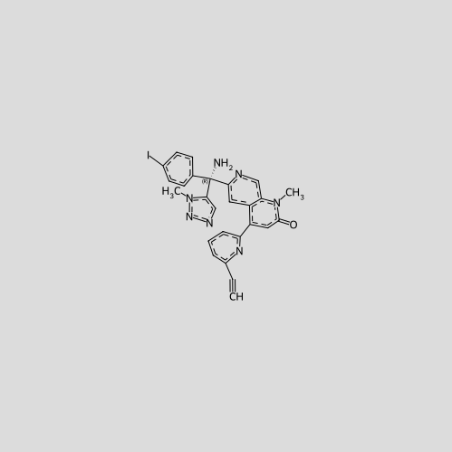 C#Cc1cccc(-c2cc(=O)n(C)c3cnc([C@](N)(c4ccc(I)cc4)c4cnnn4C)cc23)n1